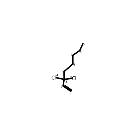 C=CC(Cl)(Cl)CCCCC